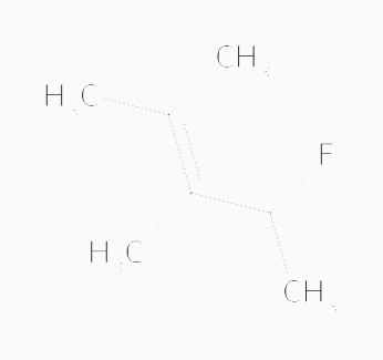 CC(C)=C(C)C(C)F